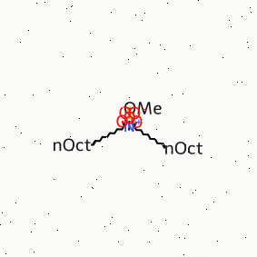 CCCCCCCCC=CCCCCCCCC(=O)[N+](C)(C)C(=O)CCCCCCCC=CCCCCCCCC.COS(=O)(=O)[O-]